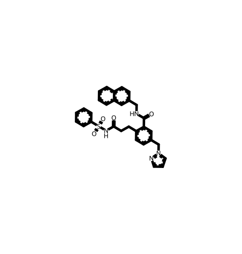 O=C(CCc1ccc(Cn2cccn2)cc1C(=O)NCc1ccc2ccccc2c1)NS(=O)(=O)c1ccccc1